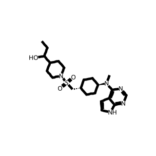 CCC(O)C1CCN(S(=O)(=O)C[C@H]2CC[C@H](N(C)c3ncnc4[nH]ccc34)CC2)CC1